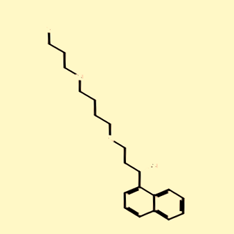 NCCCNCCCCNCC[C@H](N)c1cccc2ccccc12